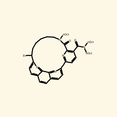 CCCCCCCCN(CCCCCCCC)C(=O)c1ccc2nc1C(=O)N(CCCCCCCC)CCCCCC(CC)c1ccc3ccc4ccc-2nc4c3n1